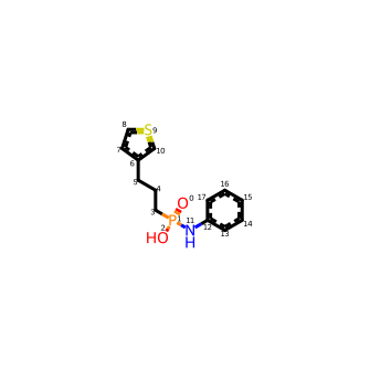 O=P(O)(CCCc1ccsc1)Nc1ccccc1